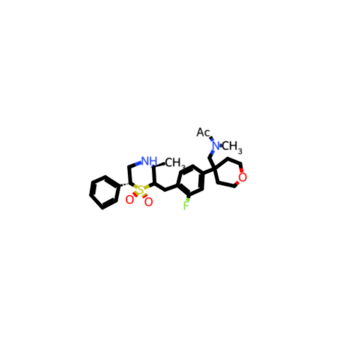 CC(=O)N(C)CC1(c2ccc(CC3[C@H](C)NC[C@@H](c4ccccc4)S3(=O)=O)c(F)c2)CCOCC1